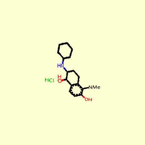 CNc1c(O)ccc2c1CCC(NC1CCCCC1)C2O.Cl